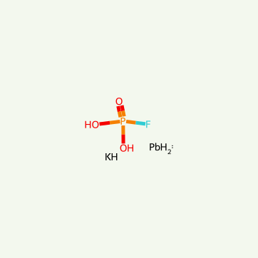 O=P(O)(O)F.[KH].[PbH2]